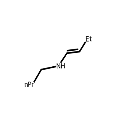 CCC=CNCCCC